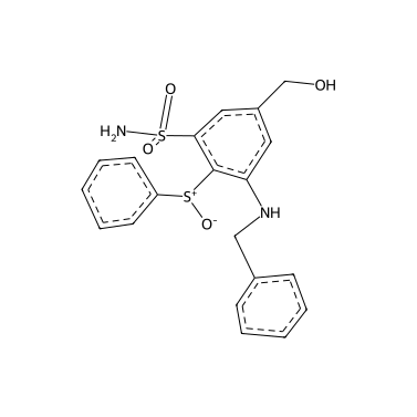 NS(=O)(=O)c1cc(CO)cc(NCc2ccccc2)c1[S+]([O-])c1ccccc1